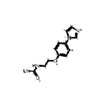 CCC(=O)NCCOc1ccc(-n2ccnc2)cc1